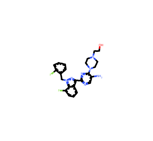 Nc1cnc(-c2nn(Cc3ccccc3F)c3c(F)cccc23)nc1N1CCN(CCO)CC1